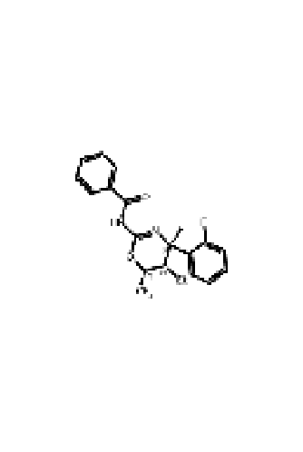 CC[C@H]1[C@@H](C(F)(F)F)OC(NC(=O)c2ccccc2)=N[C@]1(C)c1ccccc1F